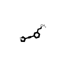 C[CH]Cc1cccc(C#Cc2ccsc2)c1